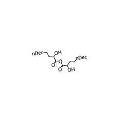 CCCCCCCCCCCCC(O)C(=O)OC(=O)C(O)CCCCCCCCCCCC